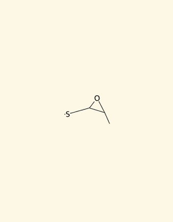 CC1OC1[S]